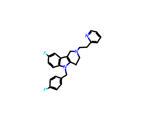 Fc1ccc(Cn2c3c(c4cc(F)ccc42)CN(CCc2ccccn2)CC3)cc1